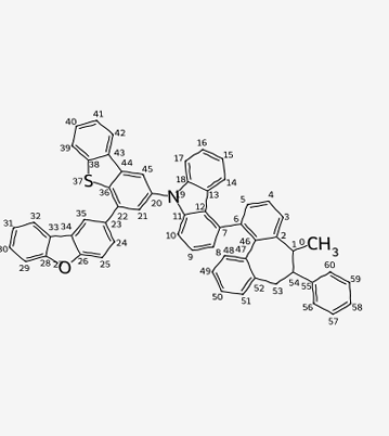 CC1c2cccc(-c3cccc4c3c3ccccc3n4-c3cc(-c4ccc5oc6ccccc6c5c4)c4sc5ccccc5c4c3)c2-c2ccccc2CC1c1ccccc1